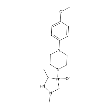 COc1ccc(N2CCN([N+]3([O-])CN(C)NC3C)CC2)cc1